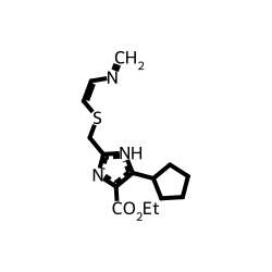 C=N/C=C\SCc1nc(C(=O)OCC)c(C2CCCC2)[nH]1